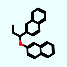 CCC(Oc1ccc2ccccc2c1)c1ccc2ccccc2c1